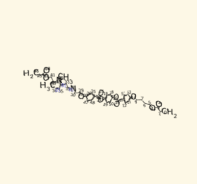 C=CC(=O)OCCCCOc1ccc(C(=O)Oc2ccc(OC(=O)c3ccc(OCC/N=C/C=C(\C=C/C)N(C)CCOC(=O)C=C)cc3)cc2)cc1